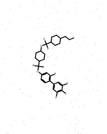 CCCC1CCC(C(F)(F)OC2CCC(C(F)(F)Oc3ccc(-c4cc(F)c(F)c(F)c4)c(F)c3)CC2)CC1